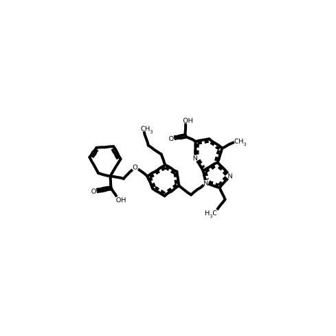 CCCc1cc(Cn2c(CC)nc3c(C)cc(C(=O)O)nc32)ccc1OCC1(C(=O)O)C=CC=CC1